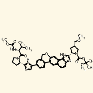 COC[C@@H]1C[C@@H](c2nc3ccc4cc5c(cc4c3[nH]2)OCc2cc(-c3cnc([C@@H]4CCCN4C(=O)[C@@H](NC(=O)OC)C(C)C)[nH]3)ccc2-5)N(C(=O)OC(C)(C)C)C1